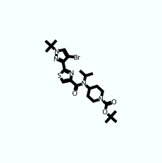 CC(C)N(C(=O)c1csc(-c2nn(C(C)(C)C)cc2Br)n1)C1CCN(C(=O)OC(C)(C)C)CC1